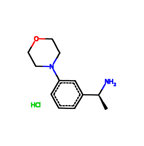 C[C@H](N)c1cccc(N2CCOCC2)c1.Cl